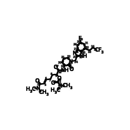 CN(C)C(=O)/C=C/CCC(OC(=O)N(C)C)C(=O)Nc1cccn(Cc2nc3cc(F)cc(CCC(F)(F)F)c3[nH]2)c1=O